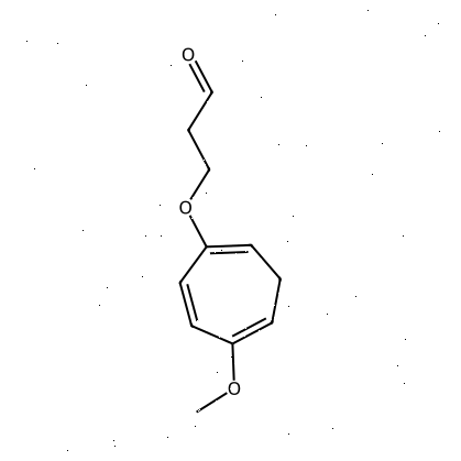 COC1=CCC=C(OCCC=O)C=C1